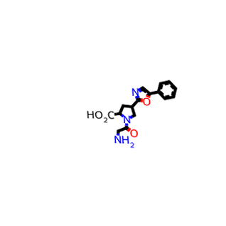 NCC(=O)N1CC(c2ncc(-c3ccccc3)o2)CC1C(=O)O